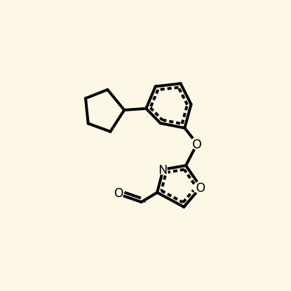 O=[C]c1coc(Oc2cccc(C3CCCC3)c2)n1